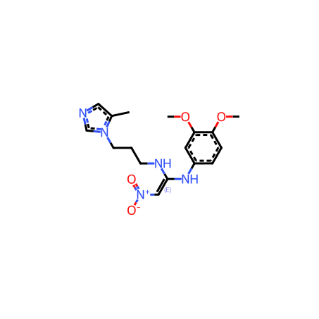 COc1ccc(N/C(=C/[N+](=O)[O-])NCCCn2cncc2C)cc1OC